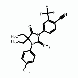 C=C1N(c2ccc(C#N)c(C(F)(F)F)c2)C(=O)C(CC)(CC)N1c1ccc(C)cc1